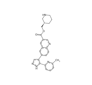 Cc1cccc(-c2[nH]ncc2-c2ccc3ncc(C(=O)OC[C@@H]4CCCNC4)cc3c2)n1